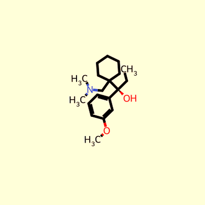 CC[C@](O)(c1cccc(OC)c1)C1(CN(C)C)CCCCC1